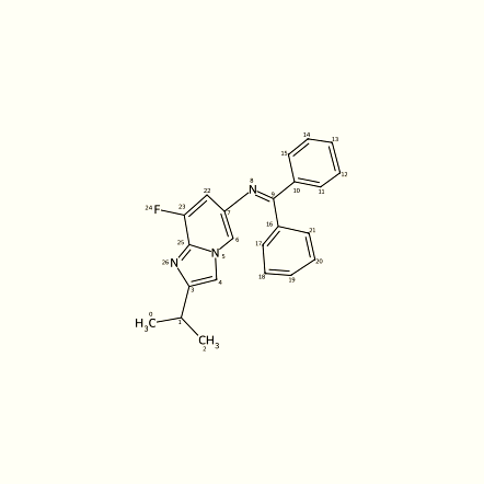 CC(C)c1cn2cc(N=C(c3ccccc3)c3ccccc3)cc(F)c2n1